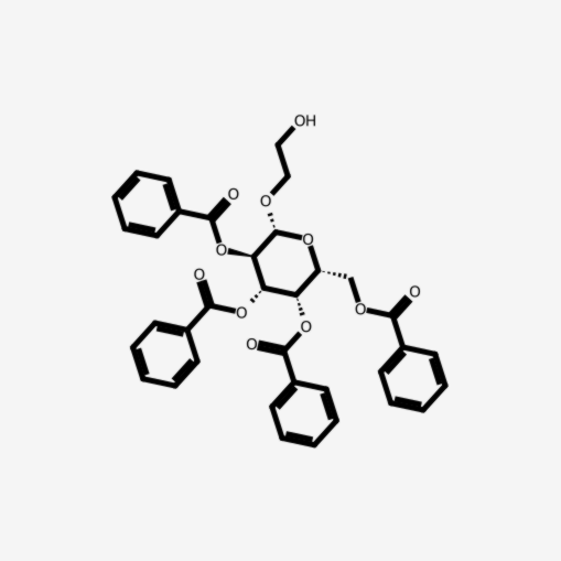 O=C(OC[C@H]1O[C@@H](OCCO)[C@H](OC(=O)c2ccccc2)[C@@H](OC(=O)c2ccccc2)[C@H]1OC(=O)c1ccccc1)c1ccccc1